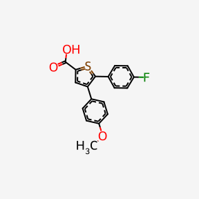 COc1ccc(-c2cc(C(=O)O)sc2-c2ccc(F)cc2)cc1